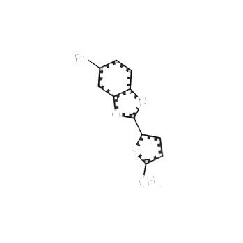 Cc1ccc(-c2nc3ccc(Br)cc3o2)s1